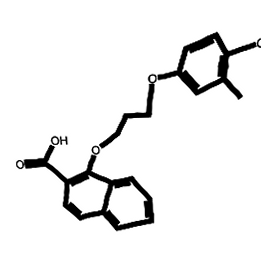 Cc1cc(OCCCOc2c(C(=O)O)ccc3ccccc23)ccc1Cl